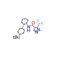 Cn1ncc(C(=O)Nc2ccccc2-c2ccc(C(C)(C)C)cc2)c1C(F)F